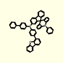 c1ccc(-c2ccc(N(c3ccc(-c4cccc5c4oc4ccccc45)cc3)c3ccc4c(c3)C3(c5ccccc5-4)c4ccccc4N(c4ccccc4)c4ccccc43)cc2)cc1